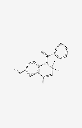 COc1ccc2c(n1)C(C)=CC(C)(C)N2C(=O)c1ccccc1